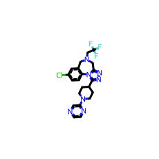 FC(F)(F)CN1Cc2cc(Cl)ccc2-n2c(nnc2C2CCN(c3cnccn3)CC2)C1